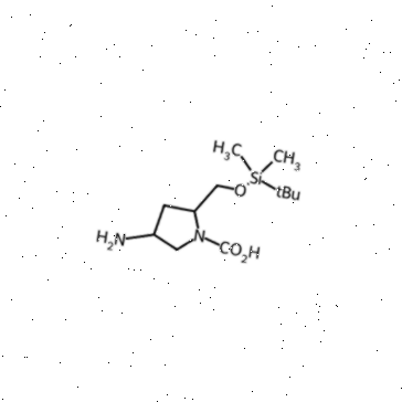 CC(C)(C)[Si](C)(C)OCC1CC(N)CN1C(=O)O